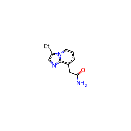 CCc1cnc2c(CC(N)=O)cccn12